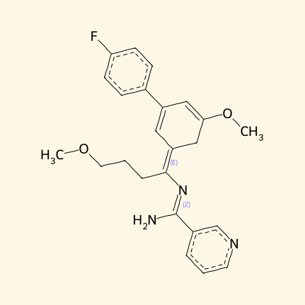 COCCCC(/N=C(\N)c1cccnc1)=C1\C=C(c2ccc(F)cc2)C=C(OC)C1